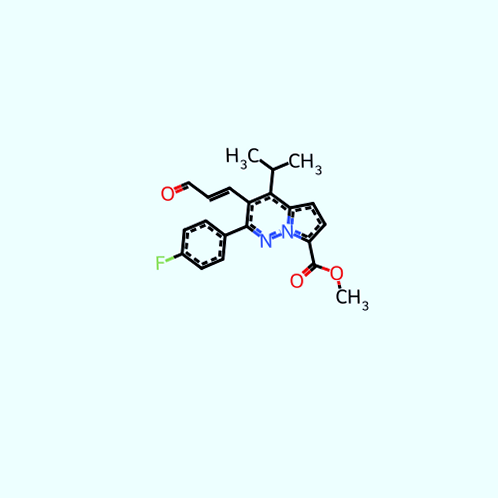 COC(=O)c1ccc2c(C(C)C)c(/C=C/C=O)c(-c3ccc(F)cc3)nn12